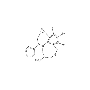 CCOC(=O)C1COCc2c(F)c(C(C)C)c(F)c3c2N(C1)C(c1ccccc1)CC1CC31